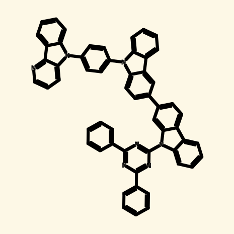 c1ccc(-c2nc(-c3ccccc3)nc(-n3c4ccccc4c4ccc(-c5ccc6c(c5)c5ccccc5n6-c5ccc(-n6c7ccccc7c7ncccc76)cc5)cc43)n2)cc1